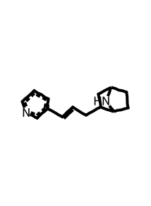 C(=Cc1cccnc1)CC1CC2CCC1N2